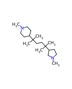 CN1CCC(C(C)(C)CCC(C)(C)C2CCN(C)C2)CC1